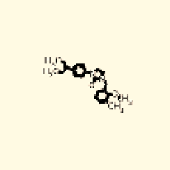 C=C/C(=C\C)c1ccc(-n2ccn(Cc3cccc(C)c3OC)c2=O)cc1